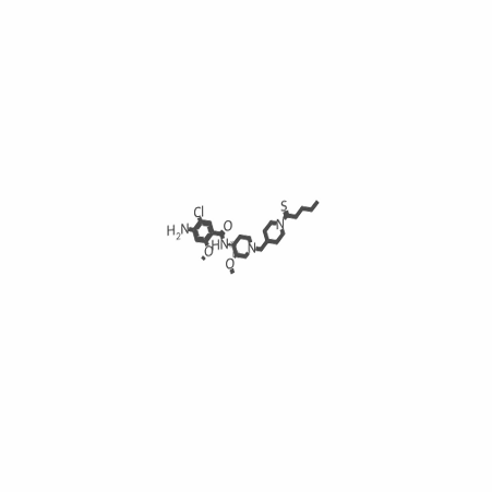 CCCCC(=S)N1CCC(CN2CC[C@H](NC(=O)c3cc(Cl)c(N)cc3OC)[C@H](OC)C2)CC1